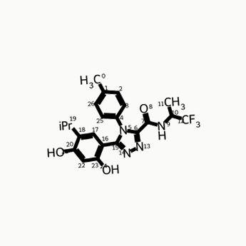 Cc1ccc(-n2c(C(=O)NC(C)C(F)(F)F)nnc2-c2cc(C(C)C)c(O)cc2O)cc1